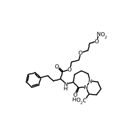 O=C(OCCOCCO[N+](=O)[O-])C(CCc1ccccc1)NC1CCCN2CCCC(C(=O)O)N2C1=O